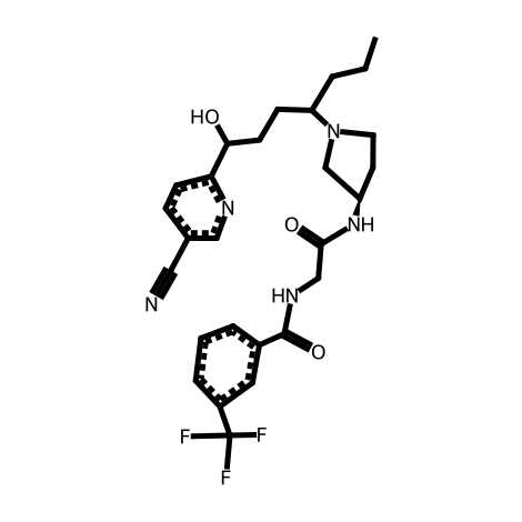 CCCC(CCC(O)c1ccc(C#N)cn1)N1CC[C@@H](NC(=O)CNC(=O)c2cccc(C(F)(F)F)c2)C1